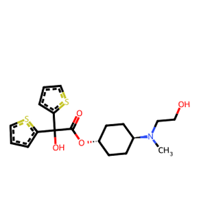 CN(CCO)[C@H]1CC[C@H](OC(=O)C(O)(c2cccs2)c2cccs2)CC1